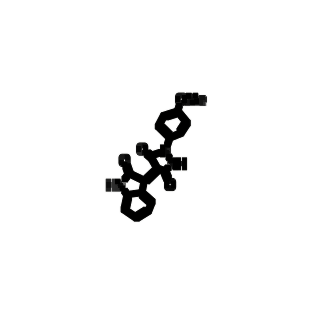 COc1ccc(N2NC(=O)C(=C3C(=O)Nc4ccccc43)C2=O)cc1